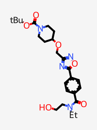 CCN(CCO)C(=O)c1ccc(-c2nc(COC3CCN(C(=O)OC(C)(C)C)CC3)no2)cc1